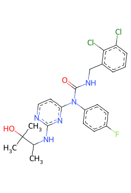 CC(Nc1nccc(N(C(=O)NCc2cccc(Cl)c2Cl)c2ccc(F)cc2)n1)C(C)(C)O